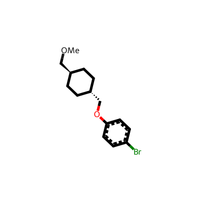 COC[C@H]1CC[C@H](COc2ccc(Br)cc2)CC1